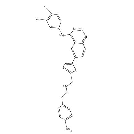 O=[N+]([O-])c1ccc(CCNCc2ccc(-c3ccc4ncnc(Nc5ccc(F)c(Cl)c5)c4c3)o2)cc1